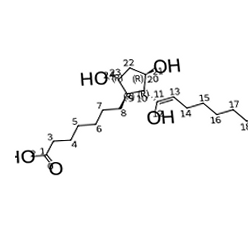 O=C(O)CCCCCC[C@@H]1[C@@H](C(O)=CCCCCCCl)[C@H](O)C[C@H]1O